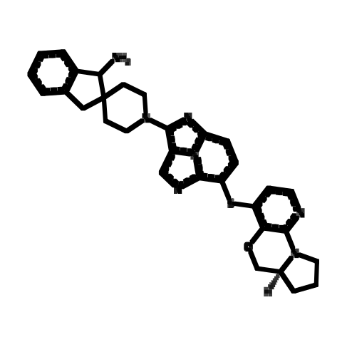 NC1c2ccccc2CC12CCN(c1nc3ccc(Sc4ccnc5c4OC[C@@H]4CCCN54)c4ncc1n34)CC2